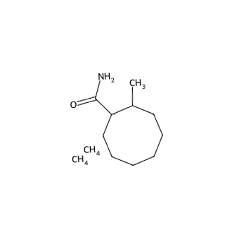 C.C.CC1CCCCCC[C]1C(N)=O